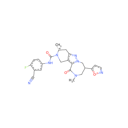 C[C@@H]1Cc2nn3c(c2CN1C(=O)Nc1ccc(F)c(C#N)c1)C(=O)N(C)CC(c1ccno1)C3